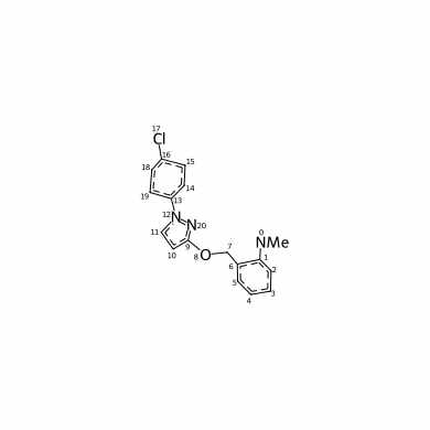 CNc1ccccc1COc1ccn(-c2ccc(Cl)cc2)n1